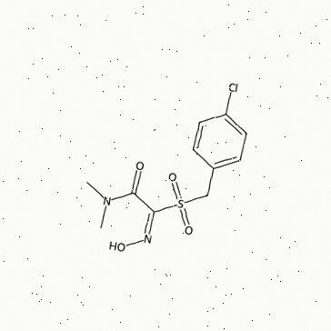 CN(C)C(=O)C(=NO)S(=O)(=O)Cc1ccc(Cl)cc1